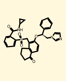 O=C(NC1CC1)c1ccccc1S(=O)(=O)Cc1c(O[C@H](Cn2ccnc2)c2ccccc2)ccc2c1CCCC2=O